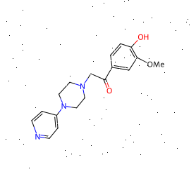 COc1cc(C(=O)CN2CCN(c3ccncc3)CC2)ccc1O